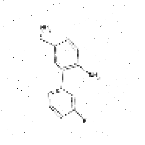 NCc1ccc(N)c(-c2cc[c]c(F)c2)c1